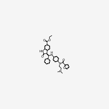 CCOC(=O)c1ccc2c(c1)NC(=O)C2=C(Nc1ccc(N(CCN(C)C)C(=O)c2ccco2)cc1)c1ccccc1